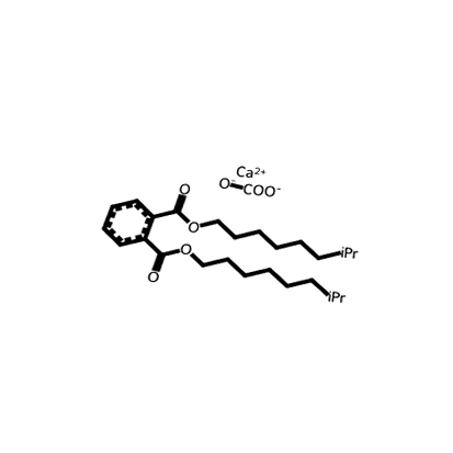 CC(C)CCCCCCOC(=O)c1ccccc1C(=O)OCCCCCCC(C)C.O=C([O-])[O-].[Ca+2]